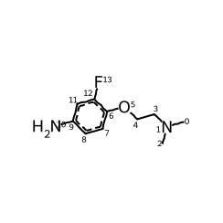 CN(C)CCOc1ccc(N)cc1F